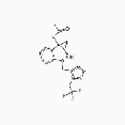 CC(=O)OC1(c2ccccc2OCc2ccnn2CC(F)(F)F)C[C@H]1O